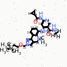 [2H]C([2H])([2H])NC(=O)c1cnc(NC(=O)C2CC2)cc1Nc1cccc2c1N(C)Cc1cn(COCC[Si](C)(C)C)nc1-2